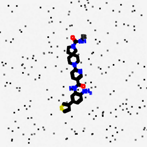 CCNC(=O)N1CCC2(CCN(c3ccc(C(=O)Nc4cc(-c5ccsc5)ccc4N)cn3)CC2)C1